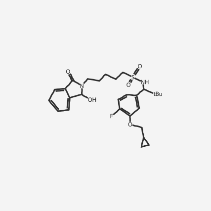 CC(C)(C)C(NS(=O)(=O)CCCCCN1C(=O)c2ccccc2C1O)c1ccc(F)c(OCC2CC2)c1